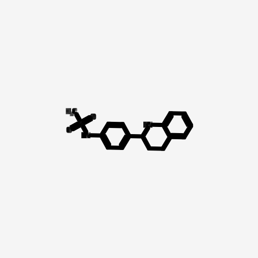 CS(=O)(=O)Nc1ccc(C2CCc3ccccc3N2)cc1